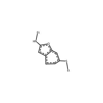 CCNc1cc2ccc(SCC)cc2o1